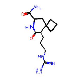 N=C(N)NCCC[C@H]1C(=O)NC(C(N)=O)CC12CCC2